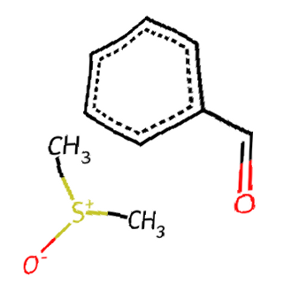 C[S+](C)[O-].O=Cc1ccccc1